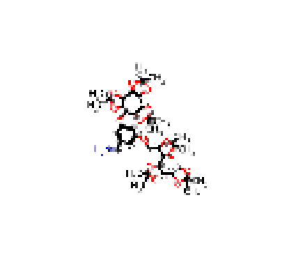 CC1(C)OCC(C2OC(C)(C)OC2[C@H]2OC(C)(C)OC2COc2cc(CN)cc(OC[C@H]3OC(C)(C)O[C@H]3[C@@H]3OC(C)(C)O[C@H]3[C@@H]3COC(C)(C)O3)c2)O1